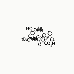 COc1cc(C(NC(=O)OC(C)(C)C)C(=O)N[C@@H]2C(=O)N3C(C(=O)O)=C(C[PH](c4ccccc4)(c4ccccc4)c4ccccc4)CS[C@@H]23)ccc1O.I